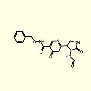 O=CNN1C(=O)NCC1C1=NC=C(C(=O)NOCc2ccccc2)C(=O)C1